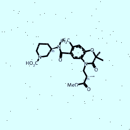 COC(=O)[C@@H](C)CN1C(=O)C(C)(C)Oc2cc(C(F)(F)F)c(C(=O)N(C(C)C)[C@@H]3CCCN(C(=O)O)C3)cc21